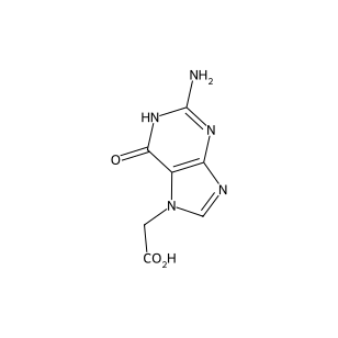 Nc1nc2ncn(CC(=O)O)c2c(=O)[nH]1